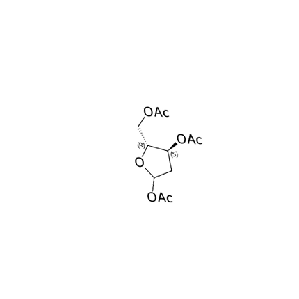 CC(=O)OC[C@H]1OC(OC(C)=O)C[C@@H]1OC(C)=O